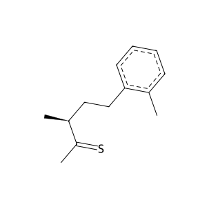 CC(=S)[C@@H](C)CCc1ccccc1C